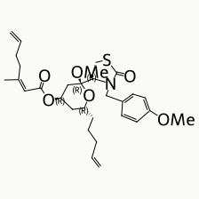 C=CCCC[C@@H]1C[C@@H](OC(=O)C=C(C)CCC=C)C[C@](OC)([C@@H]2CSC(=O)N2Cc2ccc(OC)cc2)O1